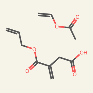 C=CCOC(=O)C(=C)CC(=O)O.C=COC(C)=O